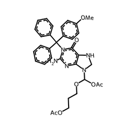 COc1ccc(C(c2ccccc2)(c2ccccc2)n2c(N)nc3c(c2=O)NCN3C(OCCCOC(C)=O)OC(C)=O)cc1